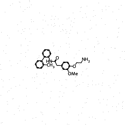 COc1cc(CC(=O)Nc2ccccc2-c2ccccc2C)ccc1OCCN